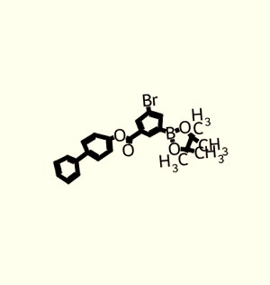 CC1(C)OB(c2cc(Br)cc(C(=O)Oc3ccc(-c4ccccc4)cc3)c2)OC1(C)C